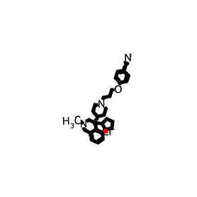 CN1Cc2cccc(Cl)c2C(C2CCCC2)(C2CCN(CCCOc3ccc(C#N)cc3)CC2)C1